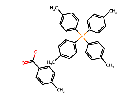 Cc1ccc(C(=O)[O-])cc1.Cc1ccc([P+](c2ccc(C)cc2)(c2ccc(C)cc2)c2ccc(C)cc2)cc1